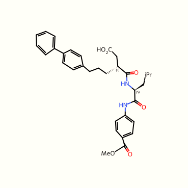 COC(=O)c1ccc(NC(=O)[C@H](CC(C)C)NC(=O)[C@H](CCCc2ccc(-c3ccccc3)cc2)CC(=O)O)cc1